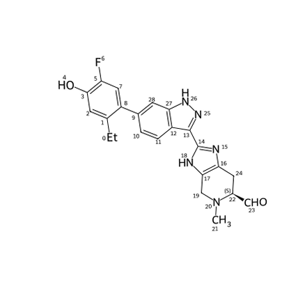 CCc1cc(O)c(F)cc1-c1ccc2c(-c3nc4c([nH]3)CN(C)[C@H](C=O)C4)n[nH]c2c1